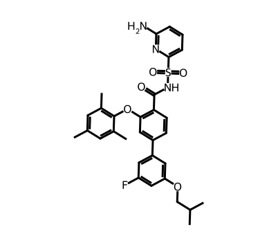 Cc1cc(C)c(Oc2cc(-c3cc(F)cc(OCC(C)C)c3)ccc2C(=O)NS(=O)(=O)c2cccc(N)n2)c(C)c1